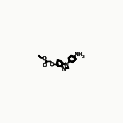 CCOC(=O)COc1ccc2c(c1)ncn2-c1ccc(N)cc1